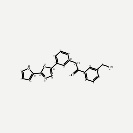 N#CCc1cccc(C(=O)Nc2cccc(-c3nnc(-c4ccco4)o3)c2)c1